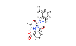 CCCn1c2c(C(=O)O)cccc2c(=O)n1C(=O)NCc1c(C)cccc1CC